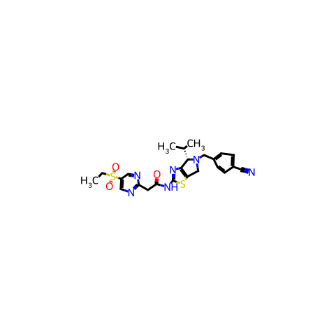 CCS(=O)(=O)c1cnc(CC(=O)Nc2nc3c(s2)CN(Cc2ccc(C#N)cc2)[C@H]3C(C)C)nc1